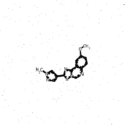 COc1ccc2ncn3nc(-c4cnn(C)c4)nc3c2c1